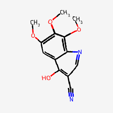 COc1cc2c(O)c(C#N)cnc2c(OC)c1OC